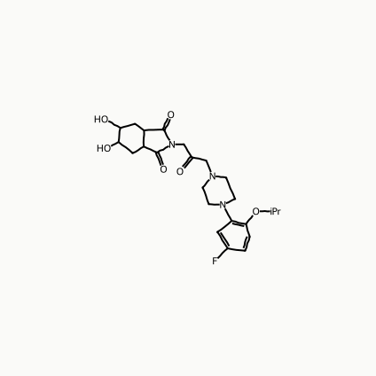 CC(C)Oc1ccc(F)cc1N1CCN(CC(=O)CN2C(=O)C3CC(O)C(O)CC3C2=O)CC1